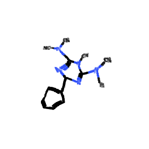 CCN(C#N)C1=NC(c2ccccc2)N=C(N(C#N)C#N)N1C#N